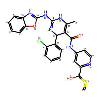 C=S=C(O)c1cc(NC(=O)C2=C(C)NC(Nc3nc4ccccc4o3)=NC2c2ccccc2Cl)ccn1